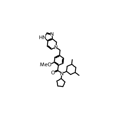 COc1cc(CN2C=Cc3[nH]cnc3C2)ccc1C(=O)N(C1CCCC1)C1CC(C)CC(C)C1